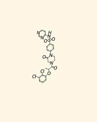 CC(Oc1cccc(Cl)c1Cl)C(=O)N1CCN(c2ccc(S(=O)(=O)Nc3ccncn3)cc2)C(=O)C1